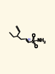 C=CC(CC)C/C=C/S(N)(=O)=O